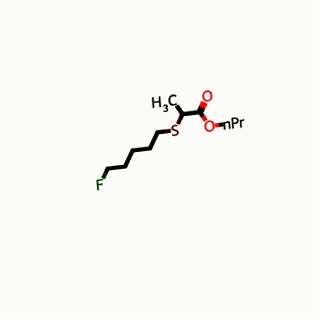 CCCOC(=O)C(C)SCCCCCF